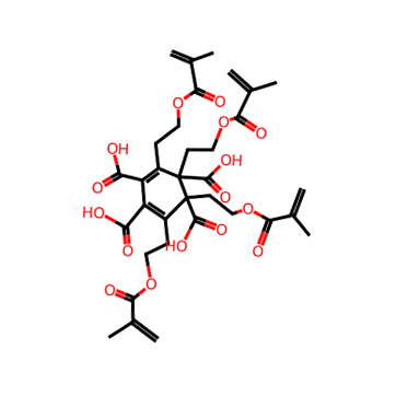 C=C(C)C(=O)OCCC1=C(C(=O)O)C(C(=O)O)=C(CCOC(=O)C(=C)C)C(CCOC(=O)C(=C)C)(C(=O)O)C1(CCOC(=O)C(=C)C)C(=O)O